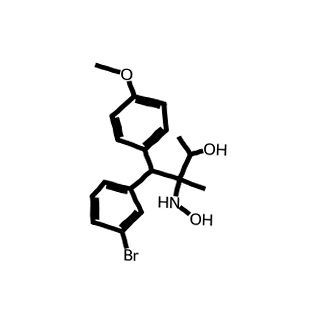 COc1ccc(C(c2cccc(Br)c2)C(C)(NO)C(C)O)cc1